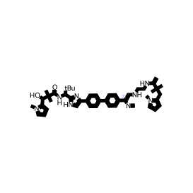 C=N/C(=C\NCCNC(=C)C(C)(C)Cc1cccn1C)c1ccc(-c2ccc(-c3c[nH]c(C(NC(=O)C(C)(C)C(O)c4cccn4C)C(C)(C)C)n3)cc2)cc1